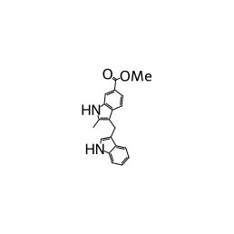 COC(=O)c1ccc2c(Cc3c[nH]c4ccccc34)c(C)[nH]c2c1